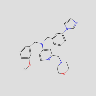 COc1cccc(CN(Cc2cccc(-n3ccnc3)c2)c2ccnc(CN3CCOCC3)c2)c1